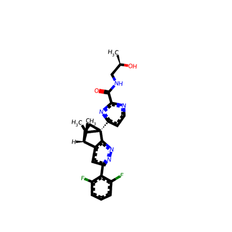 C[C@@H](O)CNC(=O)c1nccc([C@]23CC[C@@H](c4cc(-c5c(F)cccc5F)nnc42)C3(C)C)n1